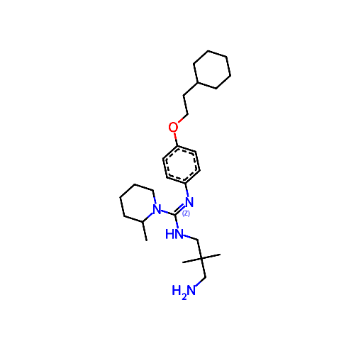 CC1CCCCN1/C(=N\c1ccc(OCCC2CCCCC2)cc1)NCC(C)(C)CN